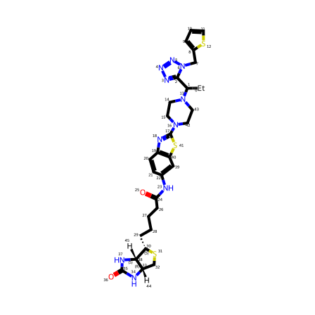 CCC(c1nnnn1Cc1cccs1)N1CCN(c2nc3ccc(NC(=O)CCCC[C@@H]4SC[C@@H]5NC(=O)N[C@@H]54)cc3s2)CC1